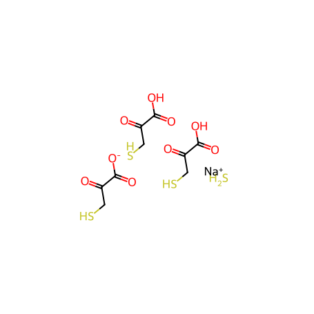 O=C(O)C(=O)CS.O=C(O)C(=O)CS.O=C([O-])C(=O)CS.S.[Na+]